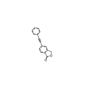 O=C1OCc2cc(C#Cc3ccccc3)ccc21